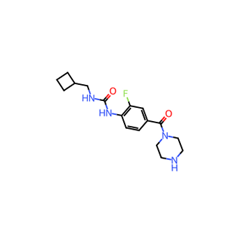 O=C(NCC1CCC1)Nc1ccc(C(=O)N2CCNCC2)cc1F